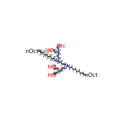 CCCCCCCC/C=C/CCCCCCCCN(CCCCN(CCCCCCCC/C=C/CCCCCCCC)CCCN(CCO)CCO)CCCN(CCO)CCO